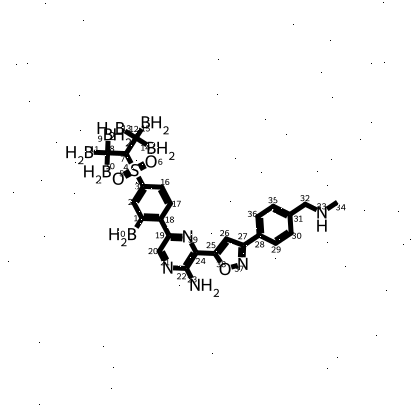 Bc1cc(S(=O)(=O)C(C(B)(B)B)C(B)(B)B)ccc1-c1cnc(N)c(-c2cc(-c3ccc(CNC)cc3)no2)n1